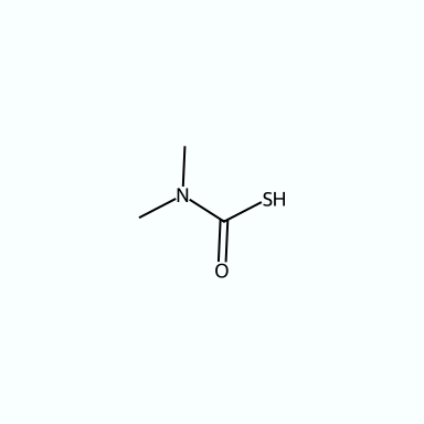 CN(C)C(=O)S